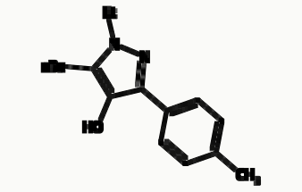 CCCCc1c(O)c(-c2ccc(C)cc2)nn1CC